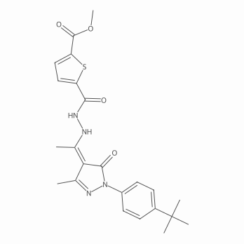 COC(=O)c1ccc(C(=O)NN/C(C)=C2\C(=O)N(c3ccc(C(C)(C)C)cc3)N=C2C)s1